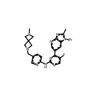 Cc1nc2ncc(-c3nc(Nc4ccc(CN5CC6(CN(C)C6)C5)cn4)ncc3F)cc2n1C(C)C